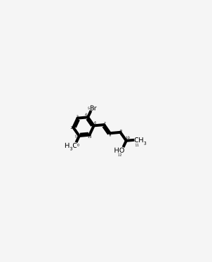 Cc1ccc(Br)c(C=CCC(C)O)c1